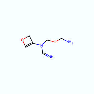 N=CN(COCN)C1=COC1